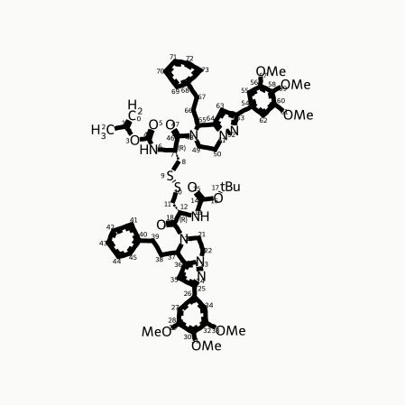 C=C(C)OC(=O)N[C@@H](CSSC[C@H](NC(=O)OC(C)(C)C)C(=O)N1CCn2nc(-c3cc(OC)c(OC)c(OC)c3)cc2C1CCc1ccccc1)C(=O)N1CCn2nc(-c3cc(OC)c(OC)c(OC)c3)cc2C1CCc1ccccc1